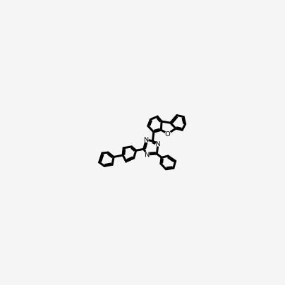 c1ccc(-c2ccc(-c3nc(-c4ccccc4)nc(-c4cccc5c4oc4ccccc45)n3)cc2)cc1